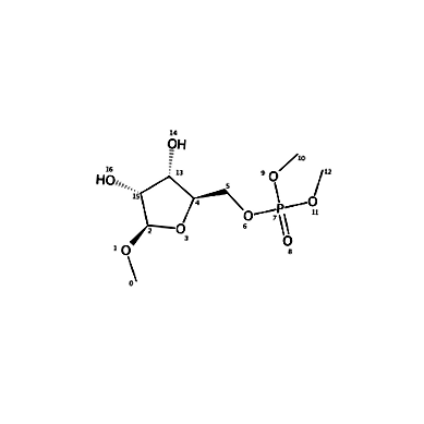 CO[C@@H]1O[C@H](COP(=O)(OC)OC)[C@@H](O)[C@H]1O